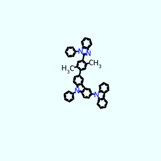 Cc1cc(-c2nc3ccccc3n2-c2ccccc2)c(C)cc1-c1ccc2c(c1)c1cc(-n3c4ccccc4c4ccccc43)ccc1n2-c1ccccc1